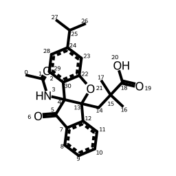 CC(=O)NC12C(=O)c3ccccc3C1(CC(C)(C)C(=O)O)Oc1cc(C(C)C)ccc12